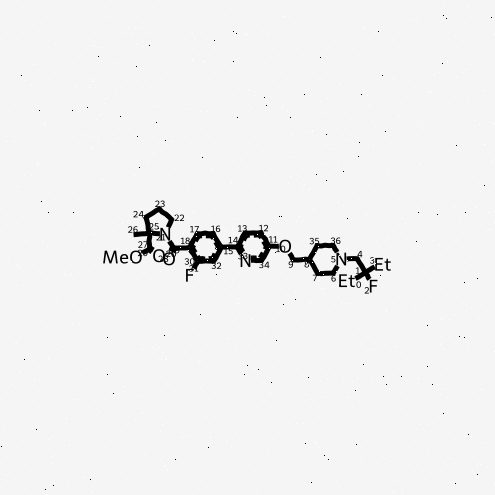 CCC(F)(CC)CN1CCC(COc2ccc(-c3ccc(C(=O)N4CCCC4(C)C(=O)OC)c(F)c3)nc2)CC1